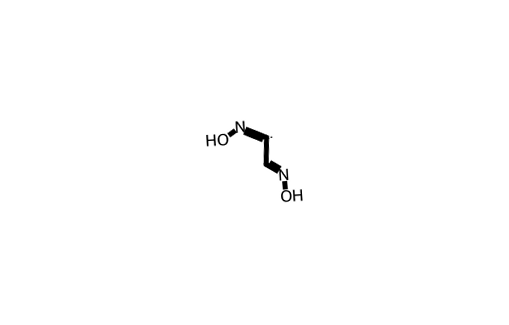 O/N=[C]\C=N\O